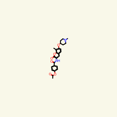 CC(=O)Oc1ccc(C(=O)Nc2cc3ccc(OC4CCN(C)CC4)c(C)c3oc2=O)cc1